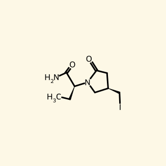 CC[C@@H](C(N)=O)N1C[C@H](CI)CC1=O